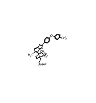 CC(=O)NCC[C@]1(C(F)(F)F)C=CC1(CC(F)(F)F)C1=C(C)C=C2N=C(c3ccc(Oc4ccc(C)cc4)cc3)OC21C